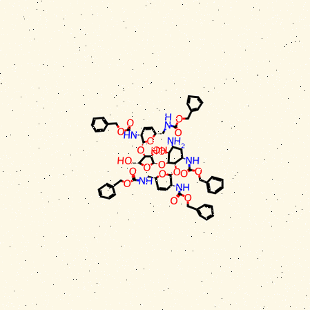 N[C@@H]1C[C@H](NC(=O)OCc2ccccc2)[C@@H](O[C@H]2O[C@H](CNC(=O)OCc3ccccc3)C=C[C@H]2NC(=O)OCc2ccccc2)[C@H](O[C@@H]2O[C@H](CO)[C@@H](O[C@H]3O[C@@H](CNC(=O)OCc4ccccc4)C=C[C@H]3NC(=O)OCc3ccccc3)[C@H]2O)[C@H]1O